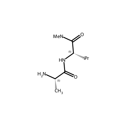 CNC(=O)[C@@H](NC(=O)[C@H](C)N)C(C)C